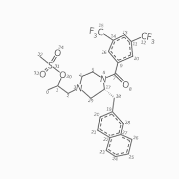 CC(CN1CCN(C(=O)c2cc(C(F)(F)F)cc(C(F)(F)F)c2)[C@H](Cc2ccc3ccccc3c2)C1)OS(C)(=O)=O